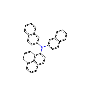 C1=Cc2c(N(c3ccc4ccccc4c3)c3ccc4ccccc4c3)ccc3cccc(c23)C1